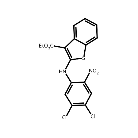 CCOC(=O)c1c(Nc2cc(Cl)c(Cl)cc2[N+](=O)[O-])sc2ccccc12